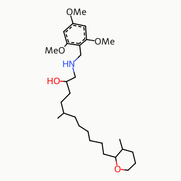 COc1cc(OC)c(CNCC(O)CCC(C)CCCCCCC2OCCCC2C)c(OC)c1